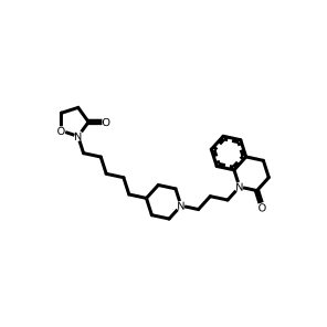 O=C1CCON1CCCCCC1CCN(CCCN2C(=O)CCc3ccccc32)CC1